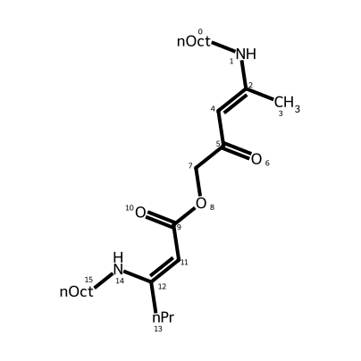 CCCCCCCCNC(C)=CC(=O)COC(=O)C=C(CCC)NCCCCCCCC